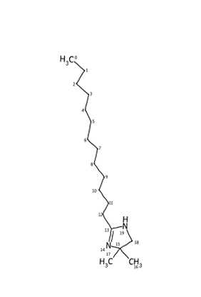 CCCCCCCCCCCCCC1=NC(C)(C)CN1